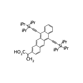 C=C(C(=O)O)c1ccc2cc3c(C#C[Si](C(C)C)(C(C)C)C(C)C)c4ccccc4c(C#C[Si](C(C)C)(C(C)C)C(C)C)c3cc2c1